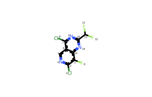 Fc1c(Cl)ncc2c(Cl)nc(C(F)F)nc12